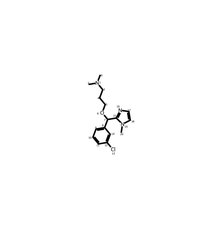 CN(C)CCCOC(c1cccc(Cl)c1)c1nccn1C